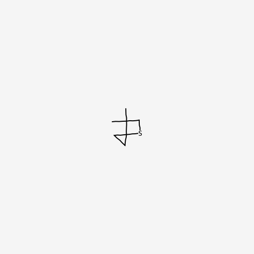 CC1(C)CSC12CC2